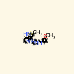 COc1cccc(CC[C@H]2CN(c3c4nccccc-4c4c3C=C(C)SN4)CCN2)c1